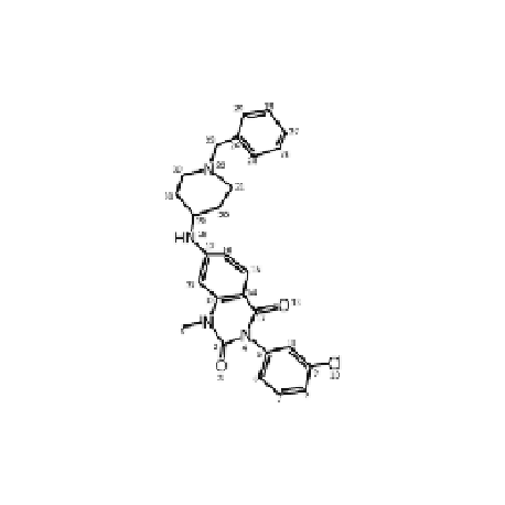 Cn1c(=O)n(-c2cccc(Cl)c2)c(=O)c2ccc(NC3CCN(Cc4ccccc4)CC3)cc21